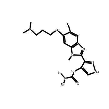 CCN(CC)C(=O)Nc1c[nH]nc1-c1nc2cc(F)c(OCCCN(C)C)cc2n1C